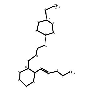 CCCC=CC1CCCCC1CCCC[C@H]1CC[C@H](CC)CC1